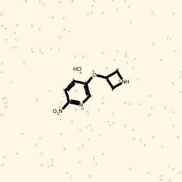 Cl.O=[N+]([O-])c1ccc(OC2CNC2)cn1